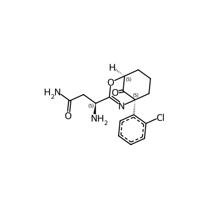 NC(=O)C[C@H](N)C1=N[C@]2(c3ccccc3Cl)CCC[C@H](O1)C2=O